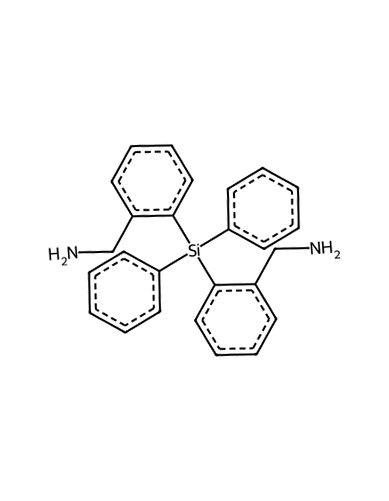 NCc1ccccc1[Si](c1ccccc1)(c1ccccc1)c1ccccc1CN